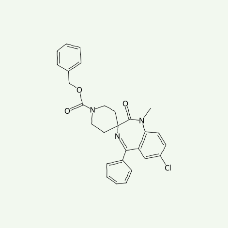 CN1C(=O)C2(CCN(C(=O)OCc3ccccc3)CC2)N=C(c2ccccc2)c2cc(Cl)ccc21